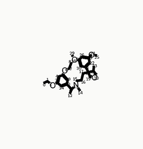 CCOc1cc(OCC)cc(C(C)N(C)CCCC(C=O)(c2cc(OC)cc(OC)c2)C(C)C)c1